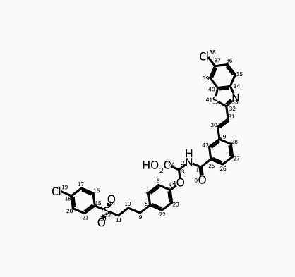 O=C(NC(Oc1ccc(CCCS(=O)(=O)c2ccc(Cl)cc2)cc1)C(=O)O)c1cccc(C=Cc2nc3ccc(Cl)cc3s2)c1